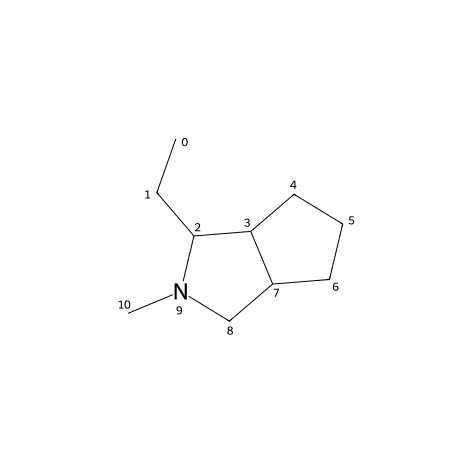 CCC1C2CCCC2CN1C